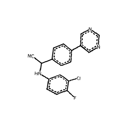 N#CC(Nc1ccc(F)c(Cl)c1)c1ccc(-c2cncnc2)cc1